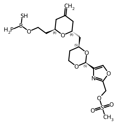 C=C1C[C@H](C[C@@H]2CCO[C@H](c3coc(COS(C)(=O)=O)n3)O2)O[C@@H](CCOB(P)S)C1